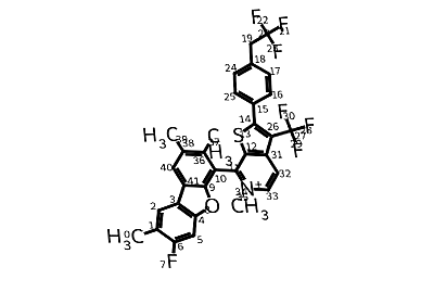 Cc1cc2c(cc1F)oc1c(-c3c4sc(-c5ccc(CC(F)(F)F)cc5)c(C(F)(F)F)c4cc[n+]3C)c(C)c(C)cc12